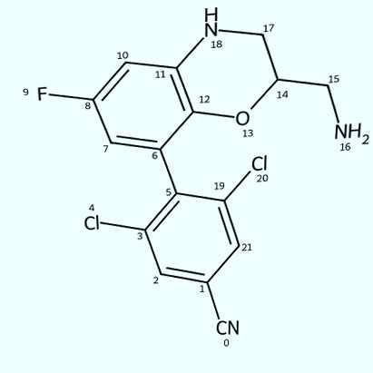 N#Cc1cc(Cl)c(-c2cc(F)cc3c2OC(CN)CN3)c(Cl)c1